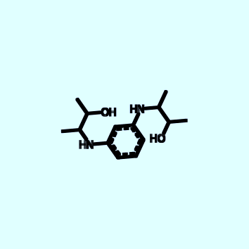 CC(O)C(C)Nc1cccc(NC(C)C(C)O)c1